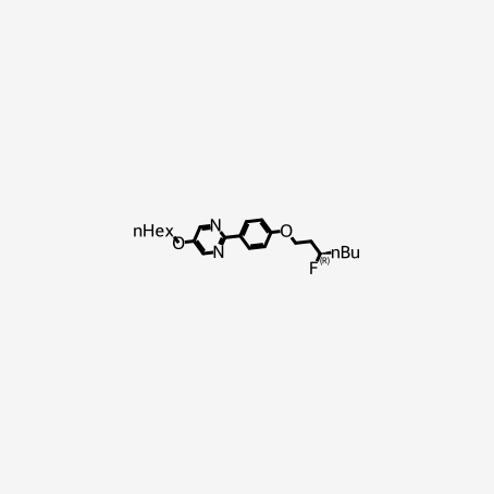 CCCCCCOc1cnc(-c2ccc(OCC[C@H](F)CCCC)cc2)nc1